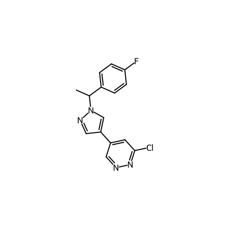 CC(c1ccc(F)cc1)n1cc(-c2cnnc(Cl)c2)cn1